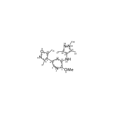 COc1ncc(-c2c(C)noc2C)cc1Nc1c(C)nn(C)c1C